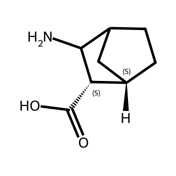 NC1C2CC[C@@H](C2)[C@@H]1C(=O)O